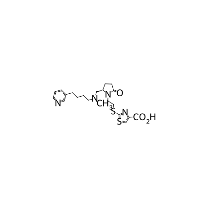 CN(CCCCc1cccnc1)C[C@H]1CCC(=O)N1CCSc1nc(C(=O)O)cs1